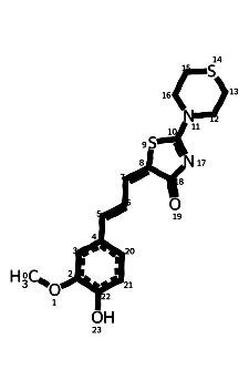 COc1cc(C=CC=C2SC(N3CCSCC3)=NC2=O)ccc1O